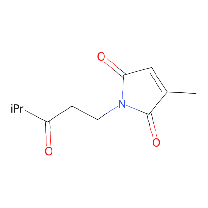 CC1=CC(=O)N(CCC(=O)C(C)C)C1=O